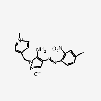 Cc1ccc(N=Nc2cnn(Cc3cc[n+](C)cc3)c2N)c([N+](=O)[O-])c1.[Cl-]